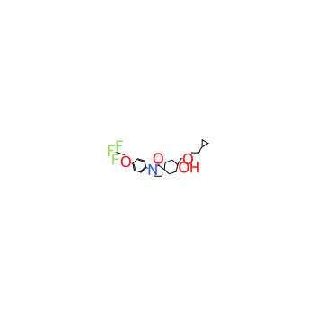 O=C1N(c2ccc(OCC(F)(F)F)cc2)CC[C@]12CC[C@@](O)(COCCC1CC1)CC2